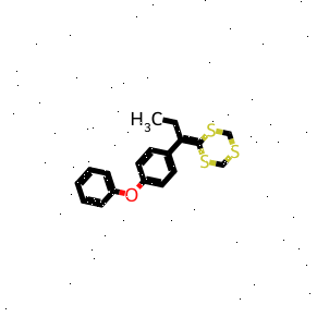 CCC(=C1SCSCS1)c1ccc(Oc2ccccc2)cc1